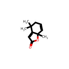 CC1(C)CC=CC2(C)OC(=O)C=C12